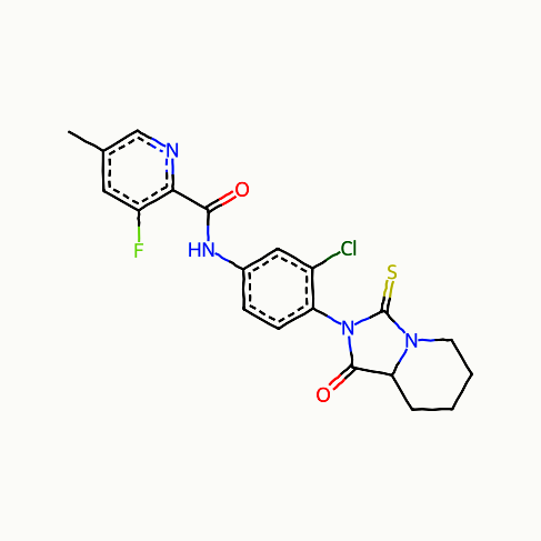 Cc1cnc(C(=O)Nc2ccc(N3C(=O)C4CCCCN4C3=S)c(Cl)c2)c(F)c1